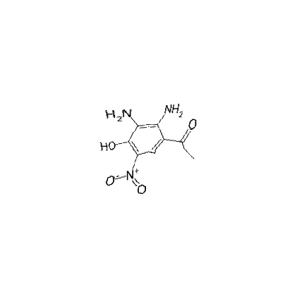 CC(=O)c1cc([N+](=O)[O-])c(O)c(N)c1N